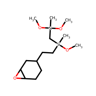 CO[Si](C)(CCC1CCC2OC2C1)C[Si](C)(OC)OC